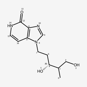 CC(CO)[C@H](O)CCn1cnc2c(=O)[nH]ccc21